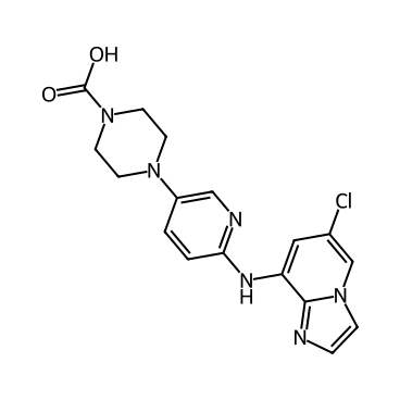 O=C(O)N1CCN(c2ccc(Nc3cc(Cl)cn4ccnc34)nc2)CC1